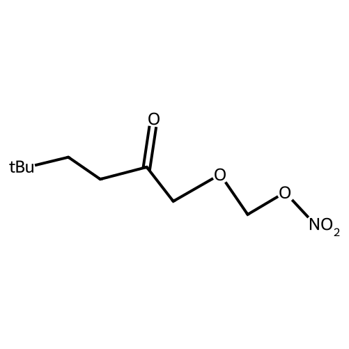 CC(C)(C)CCC(=O)COCO[N+](=O)[O-]